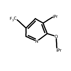 CC(C)Oc1ncc(C(F)(F)F)cc1C(C)C